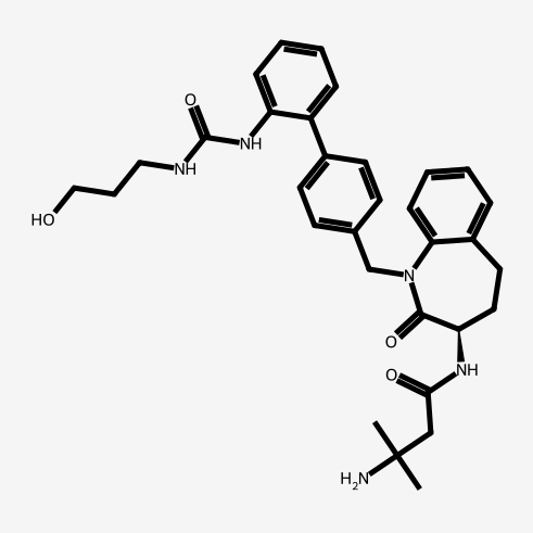 CC(C)(N)CC(=O)N[C@@H]1CCc2ccccc2N(Cc2ccc(-c3ccccc3NC(=O)NCCCO)cc2)C1=O